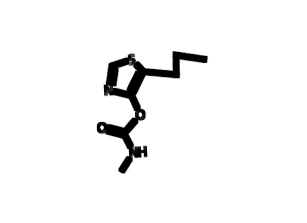 CCCc1scnc1OC(=O)NC